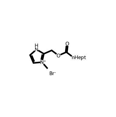 CCCCCCCC(=O)OCc1[nH]cc[n+]1C.[Br-]